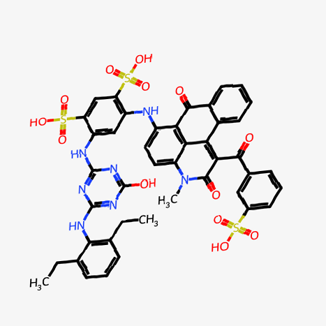 CCc1cccc(CC)c1Nc1nc(O)nc(Nc2cc(Nc3ccc4c5c3C(=O)c3ccccc3-c5c(C(=O)c3cccc(S(=O)(=O)O)c3)c(=O)n4C)c(S(=O)(=O)O)cc2S(=O)(=O)O)n1